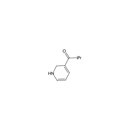 CC(C)C(=O)C1=CC=CNC1